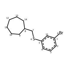 Brc1cccc(SCC2CCCCCC2)c1